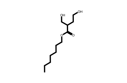 CCCCCCCOC(=O)C(CO)CCO